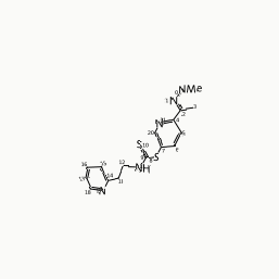 CNN=C(C)c1ccc(SC(=S)NCCc2ccccn2)cn1